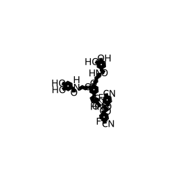 N#Cc1ccc(OP(=O)(CNS(=O)(=O)c2ccc(-c3ccc(OCCCNC(=O)c4ccc(O)c(O)c4)c(OCCCNC(=O)c4ccc(O)c(O)c4)c3)s2)Oc2ccc(C#N)c(F)c2)cc1F